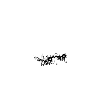 Cc1cc(CCC(=O)c2cc(-c3ccccc3)c(C)s2)cc(C)c1OCC(O)CNCCO